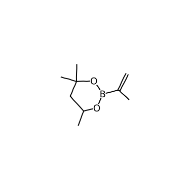 C=C(C)B1OC(C)CC(C)(C)O1